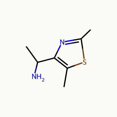 Cc1nc(C(C)N)c(C)s1